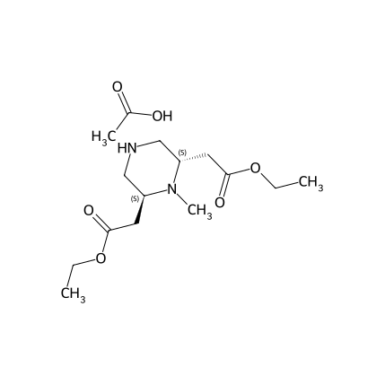 CC(=O)O.CCOC(=O)C[C@H]1CNC[C@H](CC(=O)OCC)N1C